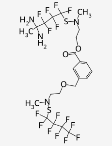 CN(CCOC(=O)c1cccc(COCCN(C)SC(F)(F)C(F)(F)C(F)(F)C(F)(F)F)c1)SC(F)(F)C(F)(F)C(F)(F)C(C)(N)N